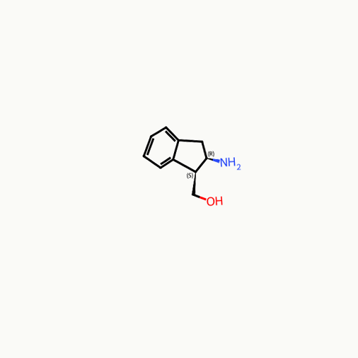 N[C@@H]1Cc2ccccc2[C@@H]1CO